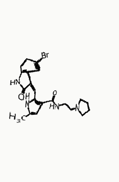 Cc1cc(C(=O)NCCN2CCCC2)c(/C=C2\C(=O)Nc3ccc(Br)cc32)[nH]1